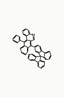 c1ccc(-c2c3ccccc3c(-c3ccc4c(c3)C3(c5ccccc5-c5ccccc53)c3ccccc3-4)c3cnc4ccccc4c23)cc1